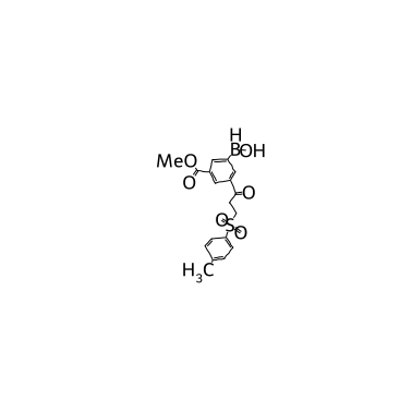 COC(=O)c1cc(BO)cc(C(=O)CCS(=O)(=O)c2ccc(C)cc2)c1